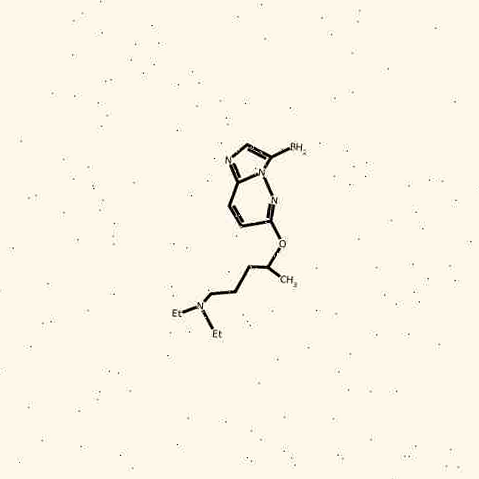 Bc1cnc2ccc(OC(C)CCCN(CC)CC)nn12